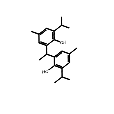 Cc1cc(C(C)C)c(O)c(C(C)c2cc(C)cc(C(C)C)c2O)c1